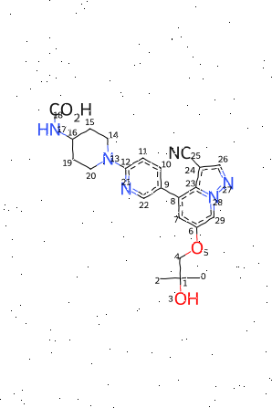 CC(C)(O)COc1cc(-c2ccc(N3CCC(NC(=O)O)CC3)nc2)c2c(C#N)cnn2c1